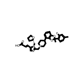 Cc1ccc(C2(C)Oc3cccc(C4CCN(Cc5ncc(/C=C/C(=O)O)n5C[C@@H]5CCCO5)CC4)c3O2)c(F)c1